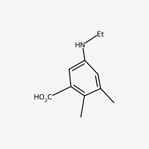 CCNc1cc(C)c(C)c(C(=O)O)c1